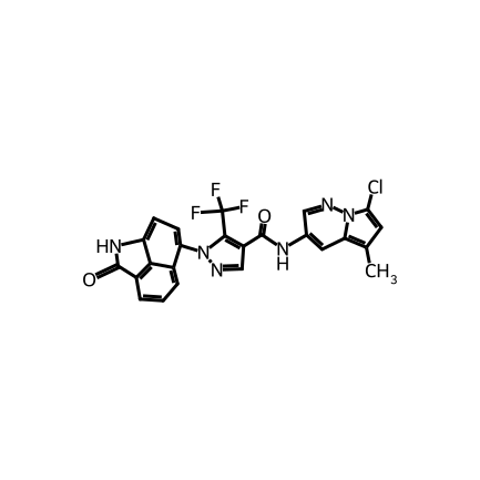 Cc1cc(Cl)n2ncc(NC(=O)c3cnn(-c4ccc5c6c(cccc46)C(=O)N5)c3C(F)(F)F)cc12